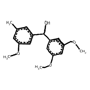 COc1cc(C)cc(C(O)c2cc(OC)cc(OC)c2)c1